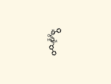 O=C(N1C[C@@H]2C[C@H]1CN2Cc1cccc(-c2ccccc2)c1)n1cnc(-c2ccccc2)c1